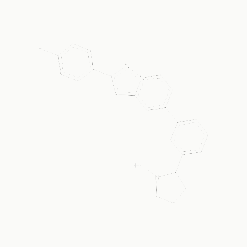 O=CN1CCCC1c1cccc(-c2ccn3nc(-c4ccc(F)cc4)cc3c2)c1